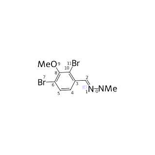 CN/N=C/c1ccc(Br)c(OC)c1Br